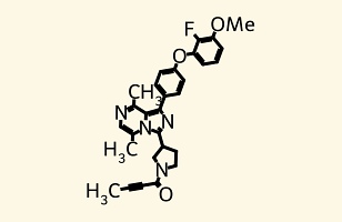 CC#CC(=O)N1CCC(c2nc(-c3ccc(Oc4cccc(OC)c4F)cc3)c3c(C)ncc(C)n23)C1